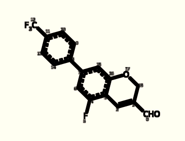 O=CC1=Cc2c(F)cc(-c3ccc(C(F)(F)F)cc3)cc2OC1